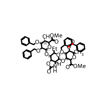 CCC1O[C@@H](O[C@@H]2C(C(=O)OC)O[C@H](C)C(OC(=O)c3ccccc3)[C@@H]2OCc2ccccc2)[C@H]2NC(=O)OC2[C@@H]1O[C@@H]1OC(C(=O)OC)[C@@H](C)[C@@H](OCc2ccccc2)C1OCc1ccccc1